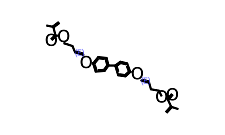 C=C(C)C(=O)OCC/C=C/Oc1ccc(-c2ccc(O/C=C/CCOC(=O)C(=C)C)cc2)cc1